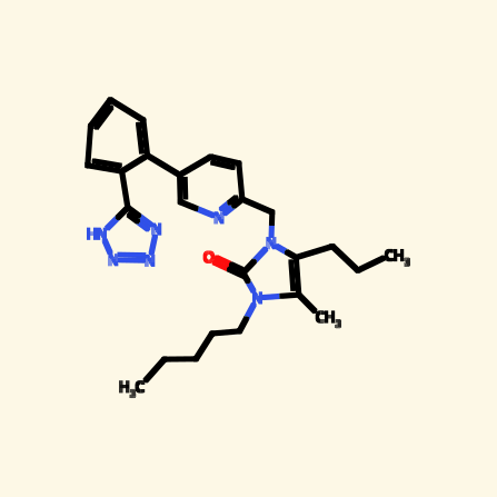 CCCCCn1c(C)c(CCC)n(Cc2ccc(-c3ccccc3-c3nnn[nH]3)cn2)c1=O